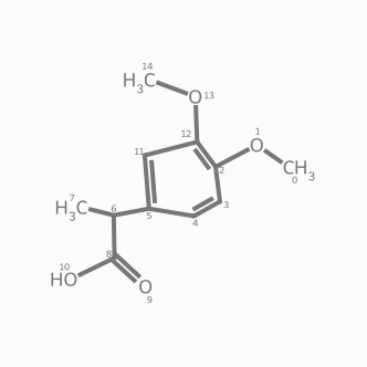 COc1ccc(C(C)C(=O)O)cc1OC